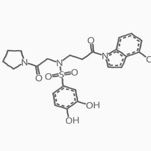 O=C(CN(CCC(=O)n1ccc2c(C(F)(F)F)cccc21)S(=O)(=O)c1ccc(O)c(O)c1)N1CCCC1